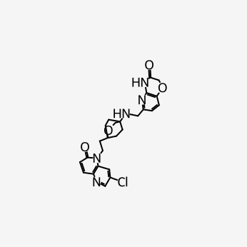 O=C1COc2ccc(CNC34CCC(CCn5c(=O)ccc6ncc(Cl)cc65)(CC3)OC4)nc2N1